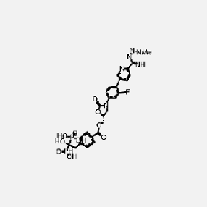 CN/N=N\C(=N)c1ccc(-c2ccc(N3C[C@H](COC(=O)c4ccc(CC(O)([PH](=O)O)P(=O)(O)O)cc4)OC3=O)cc2F)cn1